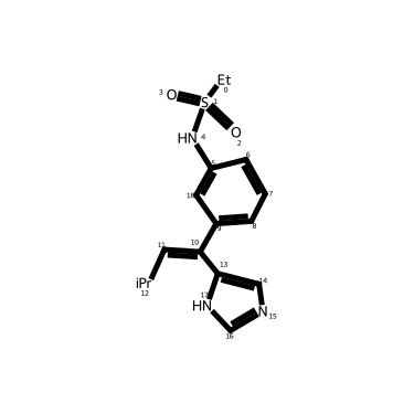 CCS(=O)(=O)Nc1cccc(C(=CC(C)C)c2cnc[nH]2)c1